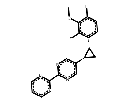 COc1c(F)ccc([C@@H]2C[C@H]2c2cnc(-c3ncccn3)nc2)c1F